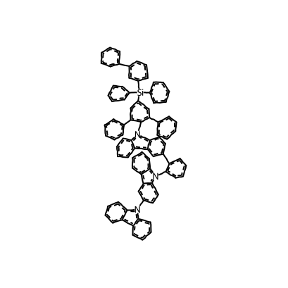 c1ccc(-c2cccc([Si](c3ccccc3)(c3ccccc3)c3cc(-c4ccccc4)c(-n4c5ccccc5c5cc(-c6ccccc6-n6c7ccccc7c7cc(-n8c9ccccc9c9ccccc98)ccc76)ccc54)c(-c4ccccc4)c3)c2)cc1